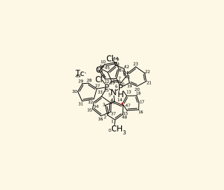 Cc1ccc(N([PH](c2ccccc2)(c2ccccc2)c2ccccc2)P(Cl)(c2ccccc2)(c2ccccc2)c2cccc(Cl)c2Cl)cc1.[Tc]